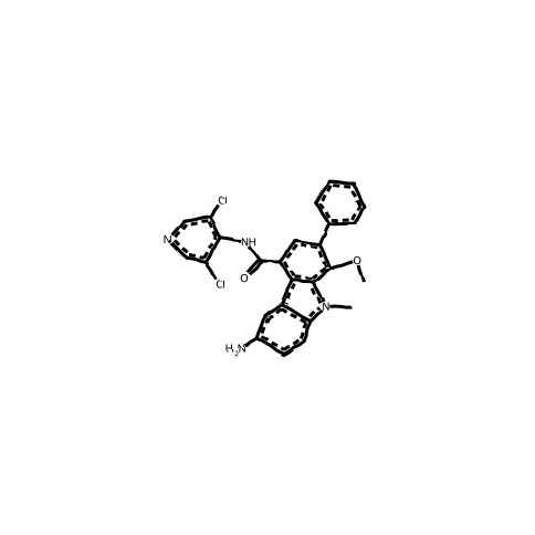 COc1c(-c2ccccc2)cc(C(=O)Nc2c(Cl)cncc2Cl)c2c3cc(N)ccc3n(C)c12